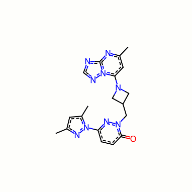 Cc1cc(N2CC(Cn3nc(-n4nc(C)cc4C)ccc3=O)C2)n2ncnc2n1